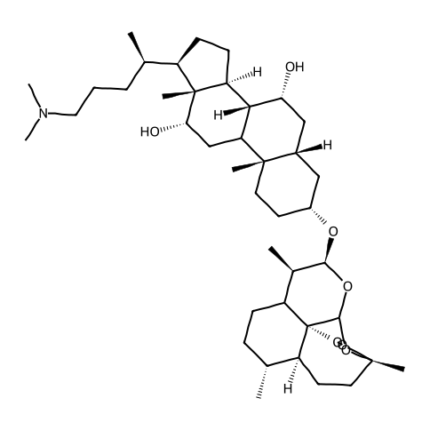 C[C@H](CCCN(C)C)[C@H]1CC[C@H]2[C@H]3C(C[C@H](O)[C@]12C)[C@@]1(C)CC[C@@H](O[C@H]2OC4O[C@@]5(C)CC[C@H]6[C@H](C)CCC([C@H]2C)[C@@]46OO5)C[C@H]1C[C@H]3O